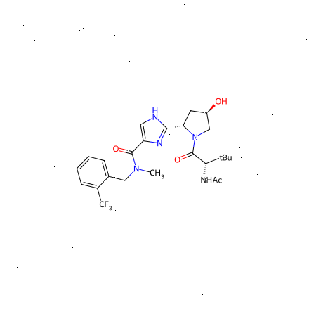 CC(=O)N[C@H](C(=O)N1C[C@H](O)C[C@H]1c1nc(C(=O)N(C)Cc2ccccc2C(F)(F)F)c[nH]1)C(C)(C)C